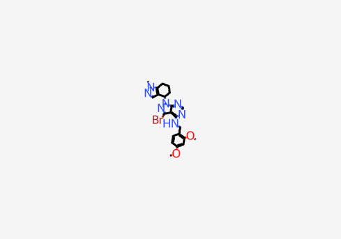 COc1ccc(CNc2ncnc3c2c(Br)nn3C2CCCc3c2cnn3C)c(OC)c1